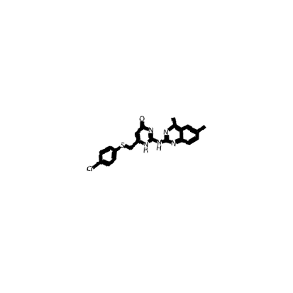 Cc1ccc2nc(Nc3nc(=O)cc(CSc4ccc(Cl)cc4)[nH]3)nc(C)c2c1